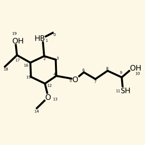 CBC1CC(OCCCC(O)S)C(OC)CC1C(C)O